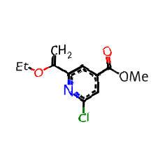 C=C(OCC)c1cc(C(=O)OC)cc(Cl)n1